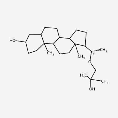 C[C@H](OCC(C)(C)O)C1CCC2C3CCC4CC(O)CCC4(C)C3CCC21C